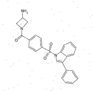 NC1CN(C(=O)c2ccc(S(=O)(=O)n3cc(-c4ccccc4)c4ccccc43)cc2)C1